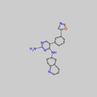 Nc1ncc(-c2cccc(-c3cnco3)c2)c(Nc2ccc3ncccc3c2)n1